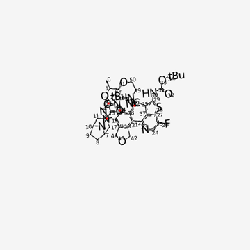 C[C@H](Oc1nc(N2C3CCC2CN(C(=O)OC(C)(C)C)C3)c2c3c(c(-c4ncc(F)c5sc(NC(=O)OC(C)(C)C)c(C#N)c45)c(F)c2n1)COC3)[C@H]1CN(C)CCO1